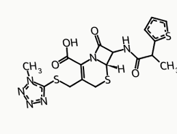 CC(C(=O)NC1C(=O)N2C(C(=O)O)=C(CSc3nnnn3C)CS[C@@H]12)c1cccs1